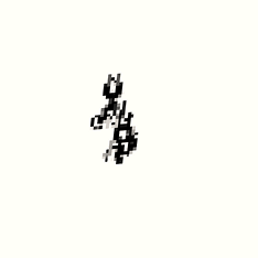 CC(=O)N1CC[C@@]2(C)C[C@H](N(C)c3nc(-c4ccncc4)cc(=O)n3C)CC[C@@H]12